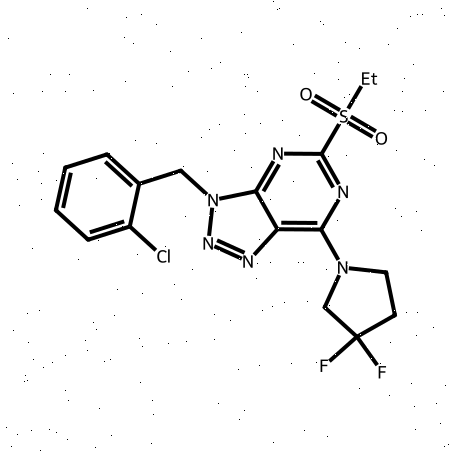 CCS(=O)(=O)c1nc(N2CCC(F)(F)C2)c2nnn(Cc3ccccc3Cl)c2n1